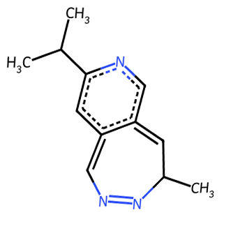 CC1C=c2cnc(C(C)C)cc2=CN=N1